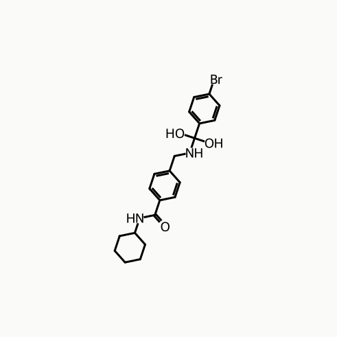 O=C(NC1CCCCC1)c1ccc(CNC(O)(O)c2ccc(Br)cc2)cc1